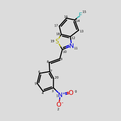 O=[N+]([O-])c1cccc(C=Cc2nc3cc(F)ccc3s2)c1